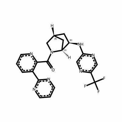 O=C(c1ncccc1-c1ncccn1)N1C[C@@H]2C[C@@H](Nc3cnc(C(F)(F)F)cn3)[C@@H]1C2